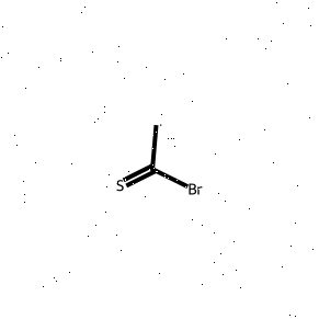 [CH2]C(=S)Br